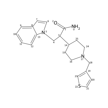 NC(=O)C(Cn1ccc2ccccc21)C1CCN(Cc2ccsc2)CC1